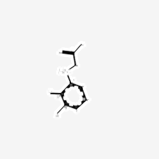 C=C(C)CNc1cccc(C)c1C